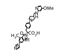 CCc1cc(-n2ccnc2)cc(C)c1C(=O)NC(Cc1ccc(N2CCC(CNc3cc(OC)ccn3)CC2)cc1)C(=O)O